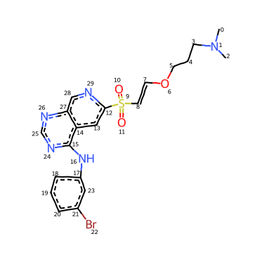 CN(C)CCCOC=CS(=O)(=O)c1cc2c(Nc3cccc(Br)c3)ncnc2cn1